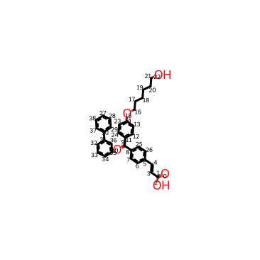 O=C(O)C=Cc1ccc(C(=O)c2ccc(OCCCCCCO)cc2)cc1.c1ccc(-c2ccccc2)cc1